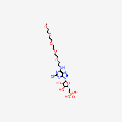 COCCOCCOCCOCCOCCNc1nc(Cl)nc2c1ncn2[C@@H]1O[C@H](CCP(=O)(O)O)C(O)[C@@H]1O